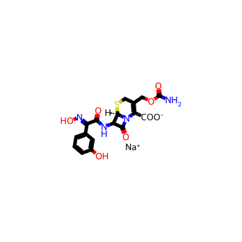 NC(=O)OCC1=C(C(=O)[O-])N2C(=O)C(NC(=O)/C(=N/O)c3cccc(O)c3)[C@H]2SC1.[Na+]